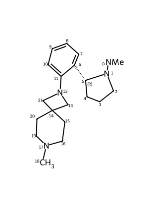 CNN1CCC[C@@H]1c1ccccc1N1CC2(CCN(C)CC2)C1